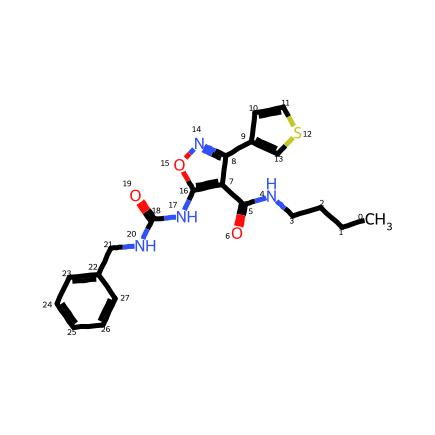 CCCCNC(=O)c1c(-c2ccsc2)noc1NC(=O)NCc1ccccc1